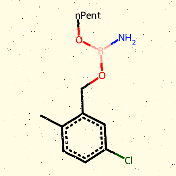 CCCCCOB(N)OCc1cc(Cl)ccc1C